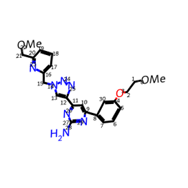 COCCOc1cccc(-c2cc(-c3cn(Cc4cccc(COC)n4)nn3)nc(N)n2)c1